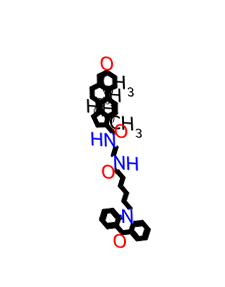 C[C@]12CCC(=O)C=C1CC[C@@H]1[C@@H]2CC[C@]2(C)C(C(=O)NCCNC(=O)CCCCCn3c4ccccc4c(=O)c4ccccc43)CC[C@@H]12